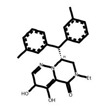 CCN1C[C@@H](C(c2cccc(C)c2)c2cccc(C)c2)N2N=CC(O)C(O)=C2C1=O